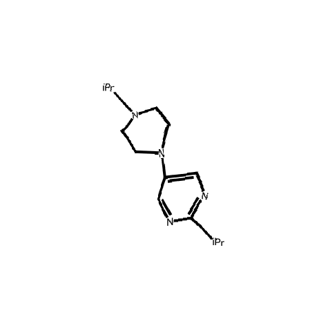 CC(C)c1ncc(N2CCN(C(C)C)CC2)cn1